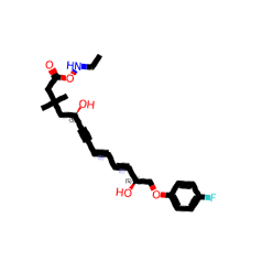 CCNOC(=O)CC(C)(C)C[C@H](O)C#C/C=C/C=C/[C@H](O)COc1ccc(F)cc1